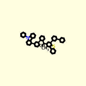 CCC(c1cc(-c2cccc(-c3ccccc3)c2)c2sc3ccccc3c2c1)c1ccccc1-c1cc(-c2cccc3c2c2ccccc2n3-c2ccccc2)ccc1C